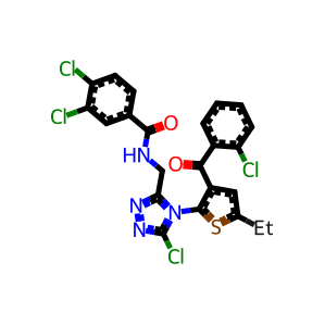 CCc1cc(C(=O)c2ccccc2Cl)c(-n2c(Cl)nnc2CNC(=O)c2ccc(Cl)c(Cl)c2)s1